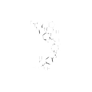 CC1CCCC1n1c(=O)c(OC(F)F)cc2cnc(NC3CCN(Sc4ccc(C(C)(C)C)cc4)CC3)nc21